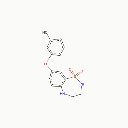 N#Cc1cccc(Oc2ccc3c(c2)S(=O)(=O)NCCN3)c1